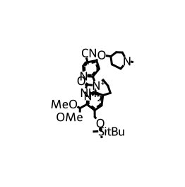 COC(OC)c1nc2c(cc1CO[Si](C)(C)C(C)(C)C)CCC[N+]2(C(N)=O)c1cc(OC2CCN(C)CC2)c(C#N)cn1